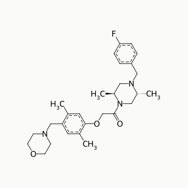 Cc1cc(OCC(=O)N2C[C@@H](C)N(Cc3ccc(F)cc3)C[C@@H]2C)c(C)cc1CN1CCOCC1